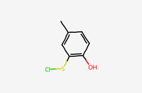 Cc1ccc(O)c(SCl)c1